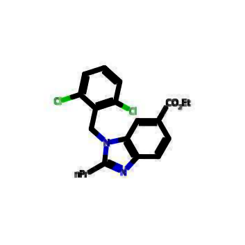 CCCc1nc2ccc(C(=O)OCC)cc2n1Cc1c(Cl)cccc1Cl